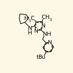 Cc1nc(NCc2cc(C(C)(C)C)ccn2)nc(NC2CCCCC2)c1C